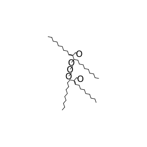 CCCCCCCCC=C(C=O)C(CCCCCCCCC)OCOCOC(CCCCCCCCC)C(C=O)=CCCCCCCCC